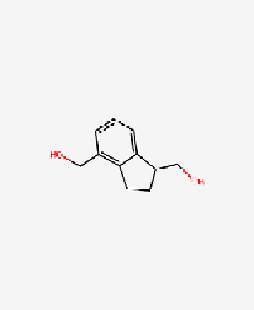 OCc1cccc2c1CCC2CO